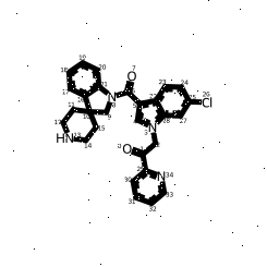 O=C(Cn1cc(C(=O)N2CC3(CCNCC3)c3ccccc32)c2ccc(Cl)cc21)c1ccccn1